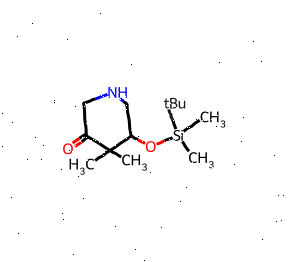 CC1(C)C(=O)CNCC1O[Si](C)(C)C(C)(C)C